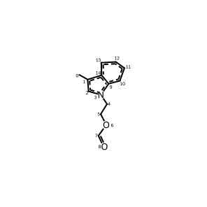 Cc1cn(CCOC=O)c2ccccc12